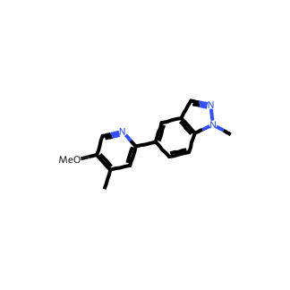 COc1cnc(-c2ccc3c(cnn3C)c2)cc1C